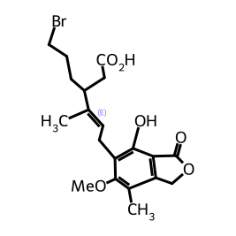 COc1c(C)c2c(c(O)c1C/C=C(\C)C(CCCBr)CC(=O)O)C(=O)OC2